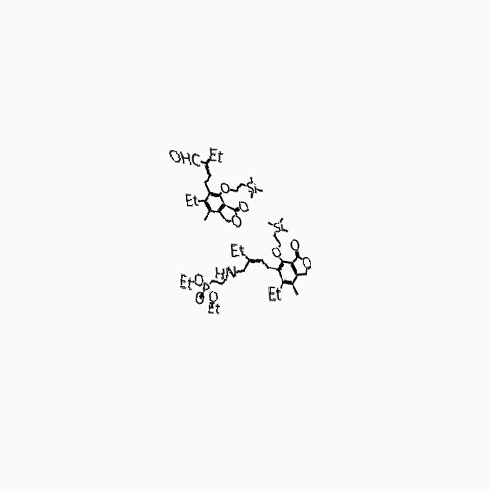 CCC(C=O)=CCc1c(CC)c(C)c2c(c1OCC[Si](C)(C)C)C(=O)OC2.CCOP(=O)(CCNCC(=CCc1c(CC)c(C)c2c(c1OCC[Si](C)(C)C)C(=O)OC2)CC)OCC